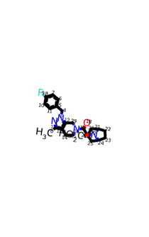 Cc1nn(Cc2ccc(F)cc2)c2c1CCN(C(=O)CN1C3CCC1CC(C(=O)O)C3)C2